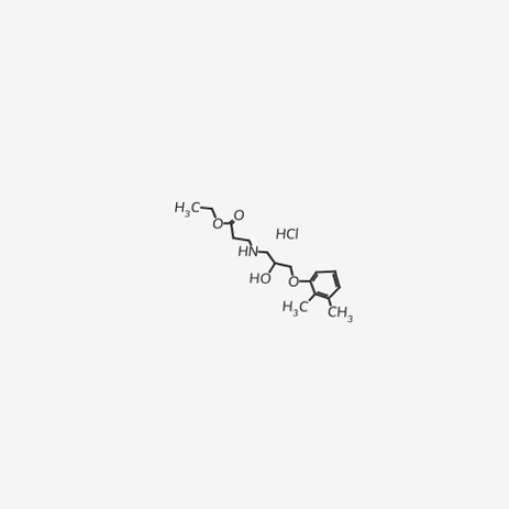 CCOC(=O)CCNCC(O)COc1cccc(C)c1C.Cl